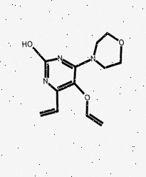 C=COc1c(C=C)nc(O)nc1N1CCOCC1